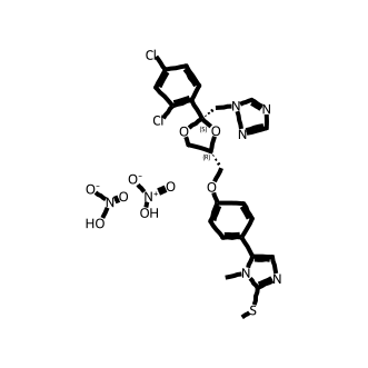 CSc1ncc(-c2ccc(OC[C@@H]3CO[C@@](Cn4cncn4)(c4ccc(Cl)cc4Cl)O3)cc2)n1C.O=[N+]([O-])O.O=[N+]([O-])O